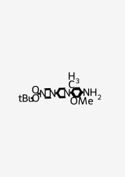 COc1cc(N2CCC(N3CCN(C(=O)OC(C)(C)C)CC3)CC2)c(C)cc1N